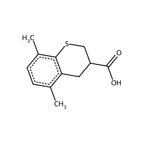 Cc1ccc(C)c2c1CC(C(=O)O)CS2